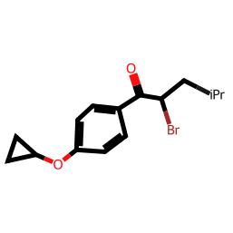 CC(C)CC(Br)C(=O)c1ccc(OC2CC2)cc1